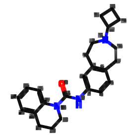 O=C(Nc1ccc2c(c1)CCN(C1CCC1)CC2)N1CCCc2ccccc21